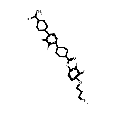 C=CCCOc1ccc(OC(=O)C2CCC(c3ccc(C4CCC(C(C)O)CC4)c(F)c3F)CC2)c(F)c1F